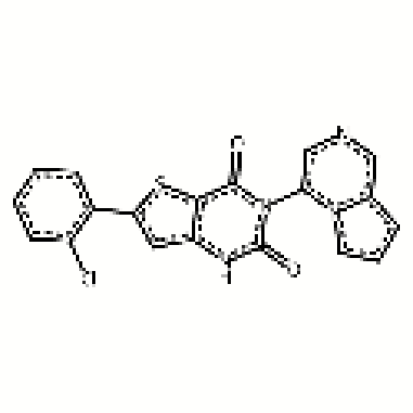 O=c1[nH]c2cc(-c3ccccc3Cl)sc2c(=O)n1-c1cncc2cccn12